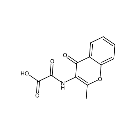 Cc1oc2ccccc2c(=O)c1NC(=O)C(=O)O